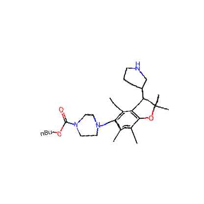 CCCCOC(=O)N1CCN(c2c(C)c(C)c3c(c2C)C(C2CCNC2)C(C)(C)O3)CC1